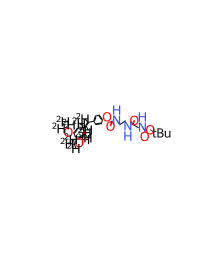 [2H]/C(=C(/[2H])C1([2H])C=C(OC([2H])([2H])[2H])CC([2H])(OC([2H])([2H])[2H])C1([2H])[2H])c1ccc(OC(=O)NCCNC(=O)CNC(=O)OC(C)(C)C)cc1